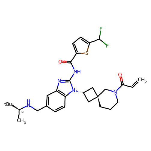 C=CC(=O)N1CCC[C@]2(C1)C[C@@H](n1c(NC(=O)c3ccc(C(F)F)s3)nc3cc(CN[C@@H](C)C(C)(C)C)ccc31)C2